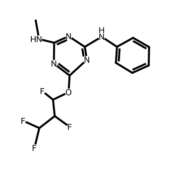 CNc1nc(Nc2ccccc2)nc(OC(F)C(F)C(F)F)n1